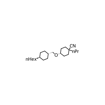 CCCCCC[C@H]1CC[C@H](CO[C@H]2CC[C@@](C#N)(CCC)CC2)CC1